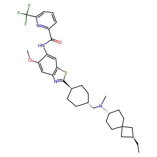 CC[C@H]1CC2(CC[C@@H](N(C)C[C@H]3CC[C@H](c4nc5cc(OC)c(NC(=O)c6cccc(C(F)(F)F)n6)cc5s4)CC3)CC2)C1